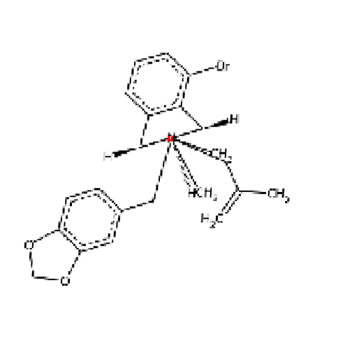 C=C(C)C[C@H]1[C@H]2c3c(Br)cccc3[C@H](CC2(C)C)N1Cc1ccc2c(c1)OCO2